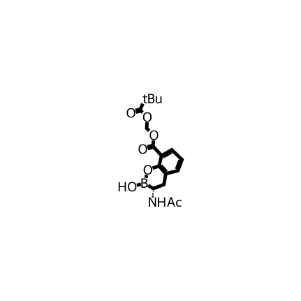 CC(=O)N[C@H]1Cc2cccc(C(=O)OCOC(=O)C(C)(C)C)c2OB1O